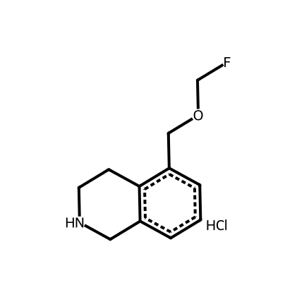 Cl.FCOCc1cccc2c1CCNC2